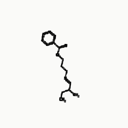 CCC(C)C=NCCCOC(=O)c1ccccc1